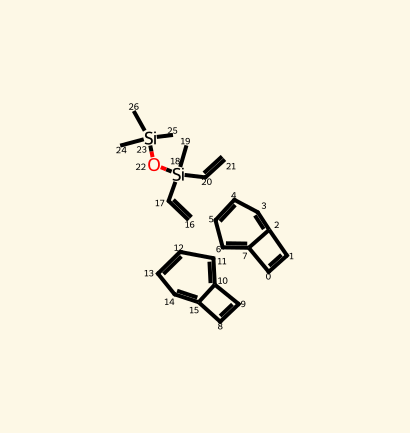 C1=Cc2ccccc21.C1=Cc2ccccc21.C=C[Si](C)(C=C)O[Si](C)(C)C